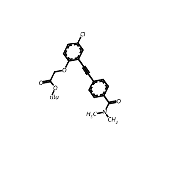 CN(C)C(=O)c1ccc(C#Cc2cc(Cl)ccc2OCC(=O)OC(C)(C)C)cc1